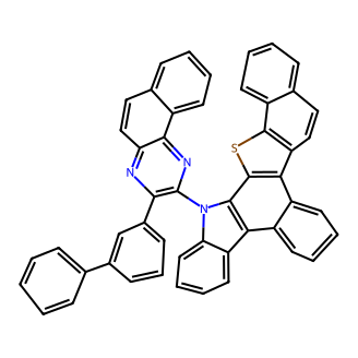 c1ccc(-c2cccc(-c3nc4ccc5ccccc5c4nc3-n3c4ccccc4c4c5ccccc5c5c6ccc7ccccc7c6sc5c43)c2)cc1